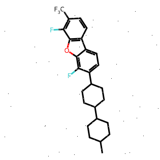 CC1CCC(C2CCC(c3ccc4c(oc5c(F)c(C(F)(F)F)ccc54)c3F)CC2)CC1